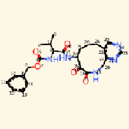 CC(C)C(NC(=O)OCc1ccccc1)C(=O)NC1CCCc2cncnc2CNC(=O)C1=O